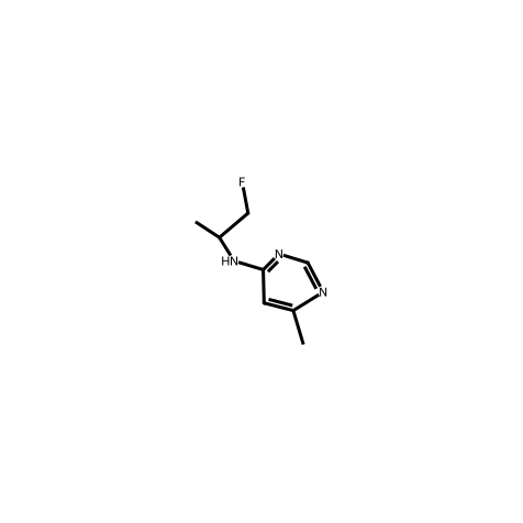 Cc1cc(NC(C)CF)ncn1